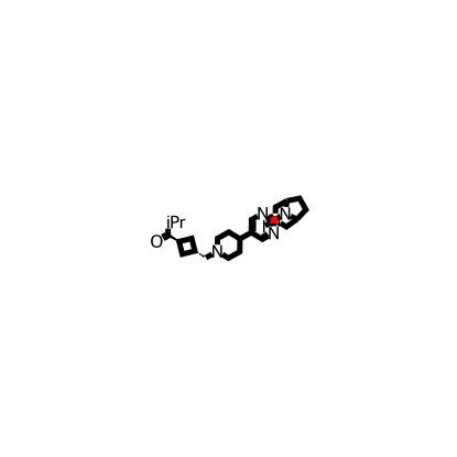 CC(C)C(=O)[C@H]1C[C@H](CN2CCC(c3cnc(N4C5CCC4CN(I)C5)nc3)CC2)C1